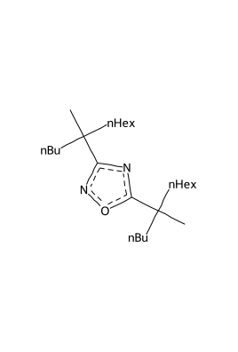 CCCCCCC(C)(CCCC)c1noc(C(C)(CCCC)CCCCCC)n1